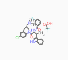 CC(c1c[nH]c2ccccc12)C(NC(=O)c1cccc(F)c1)C(=O)N1C[C@@H](CN(C)C)Cc2cc(Cl)ccc21.O=C(O)C(F)(F)F